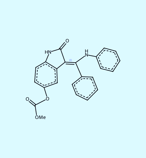 COC(=O)Oc1ccc2c(c1)/C(=C(/Nc1ccccc1)c1ccccc1)C(=O)N2